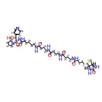 O=C(CCCC[C@@H]1SC[C@@H]2NC(=O)N[C@@H]21)NCCCC(=O)NCCCC(=O)NCCCC(=O)NCCCCCC(=O)N[C@H](C(=O)N1CCCC1)[C@H](O)c1ccncc1